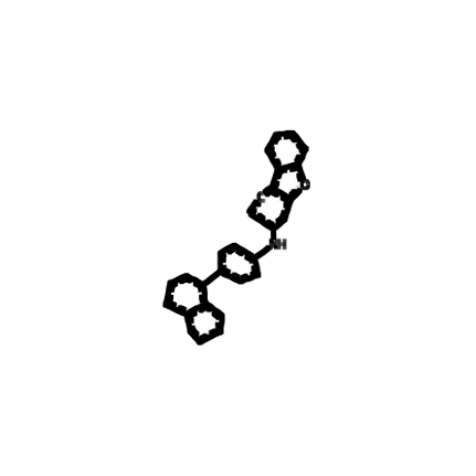 c1ccc2c(-c3ccc(Nc4ccc5c(c4)oc4ccccc45)cc3)cccc2c1